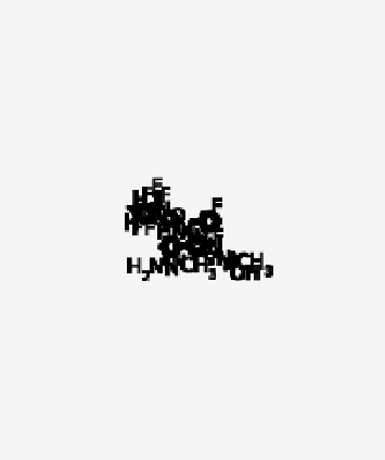 Cn1nc(N)c2cccc(-c3cc4sc(N5CC(C)(O)C5)nc4nc3[C@H](Cc3cc(F)cc(F)c3)NC(=O)Cn3nc(C(F)(F)F)c4c3C(F)(F)[C@@H]3C[C@H]43)c21